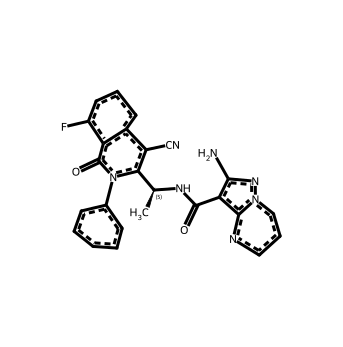 C[C@H](NC(=O)c1c(N)nn2cccnc12)c1c(C#N)c2cccc(F)c2c(=O)n1-c1ccccc1